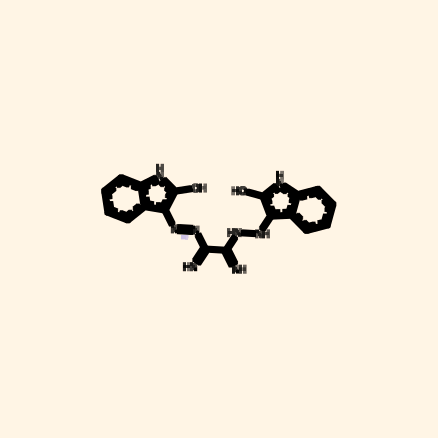 N=C(/N=N/c1c(O)[nH]c2ccccc12)C(=N)NNc1c(O)[nH]c2ccccc12